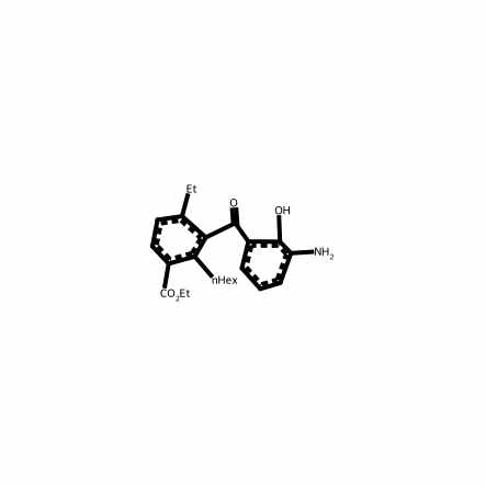 CCCCCCc1c(C(=O)OCC)ccc(CC)c1C(=O)c1cccc(N)c1O